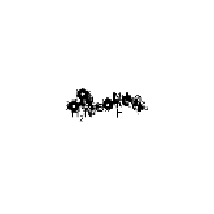 CC(C)(C)OC(=O)N1CC[C@@H](NC(=N)c2ccc(OC[C@H](ON)C(=O)OC(c3ccccc3)c3ccccc3)cc2)C1